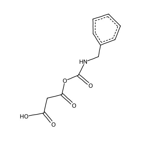 O=C(O)CC(=O)OC(=O)NCc1ccccc1